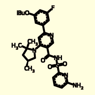 CC(C)COc1cc(F)cc(-c2cc(N3C[C@@H](C)CC3(C)C)c(C(=O)NS(=O)(=O)c3cccc(N)n3)cn2)c1